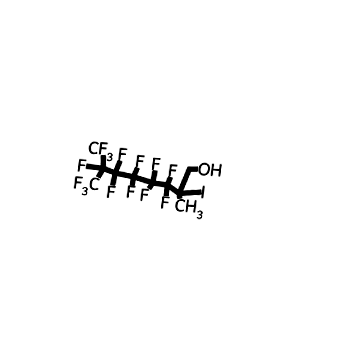 CC(I)(CO)C(F)(F)C(F)(F)C(F)(F)C(F)(F)C(F)(C(F)(F)F)C(F)(F)F